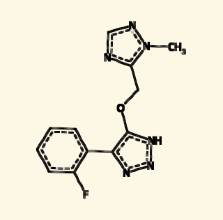 Cn1ncnc1COc1[nH]nnc1-c1ccccc1F